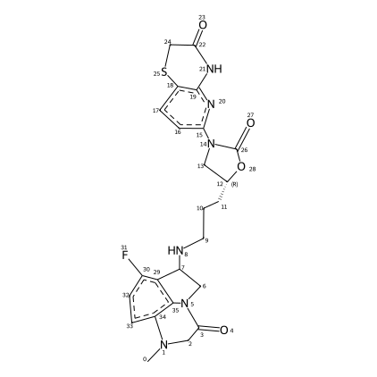 CN1CC(=O)N2CC(NCCC[C@@H]3CN(c4ccc5c(n4)NC(=O)CS5)C(=O)O3)c3c(F)ccc1c32